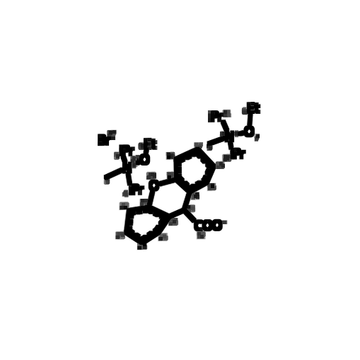 CCO[N+](C)(C(C)C)C(C)C.CCO[N+](C)(C(C)C)C(C)C.O=C([O-])C1c2ccccc2Oc2ccccc21.[Br-]